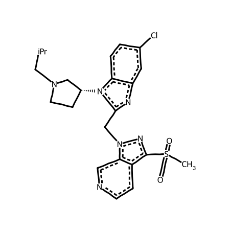 CC(C)CN1CC[C@@H](n2c(Cn3nc(S(C)(=O)=O)c4ccncc43)nc3cc(Cl)ccc32)C1